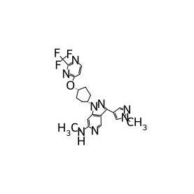 CNc1cc2c(cn1)c(-c1cnn(C)c1)nn2[C@H]1CC[C@@H](Oc2ccnc(C(F)(F)F)n2)CC1